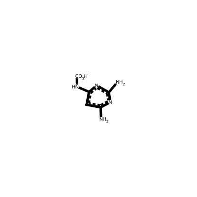 Nc1cc(NC(=O)O)nc(N)n1